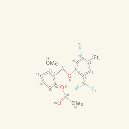 CCc1cc(C(F)F)c(OCc2c(OC)cccc2OC(=O)OC)cc1F